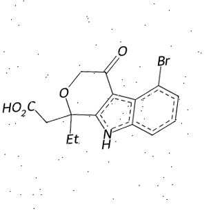 CCC1(CC(=O)O)OCC(=O)c2c1[nH]c1cccc(Br)c21